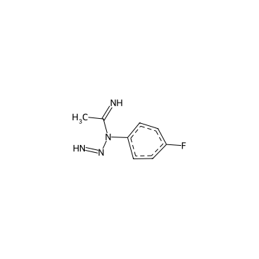 CC(=N)N(N=N)c1ccc(F)cc1